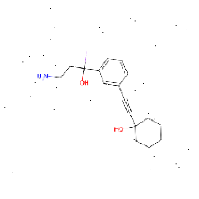 NCCC(O)(I)c1cccc(C#CC2(O)CCCCC2)c1